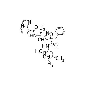 CC(C)CC(NC(=O)C1(Cc2ccccc2)CC(C(C)(C)NC(=O)c2cccn3ccnc23)=NO1)B(O)O